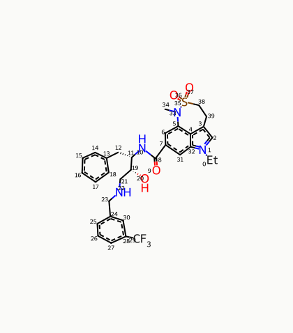 CCn1cc2c3c(cc(C(=O)N[C@@H](Cc4ccccc4)[C@H](O)CNCc4cccc(C(F)(F)F)c4)cc31)N(C)S(=O)(=O)CC2